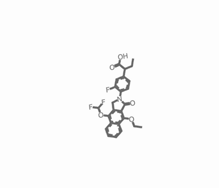 CCOc1c2c(c(OC(F)F)c3ccccc13)CN(c1ccc(C(CC)C(=O)O)cc1F)C2=O